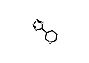 C1COCC(C2N=NN=N2)C1